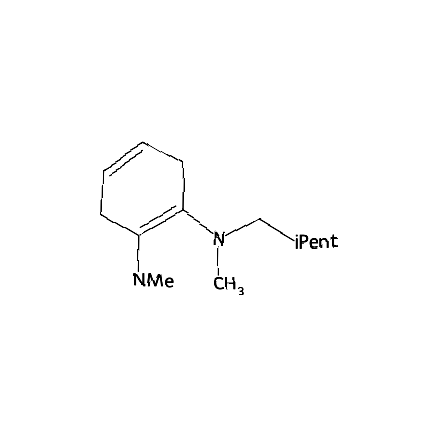 CCCC(C)CN(C)C1=C(NC)CC=CC1